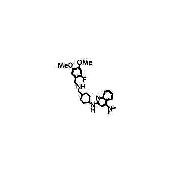 COc1cc(F)c(CNCC2CCC(Nc3cc(N(C)C)c4ccccc4n3)CC2)cc1OC